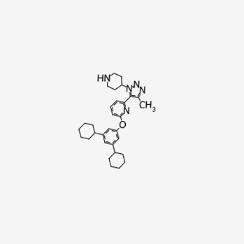 Cc1nnn(C2CCNCC2)c1-c1cccc(Oc2cc(C3CCCCC3)cc(C3CCCCC3)c2)n1